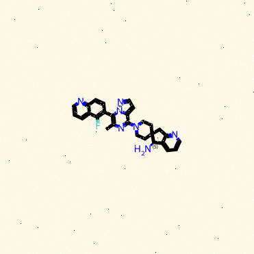 Cc1nc(N2CCC3(CC2)Cc2ncccc2[C@H]3N)c2ccnn2c1-c1ccc2ncccc2c1F